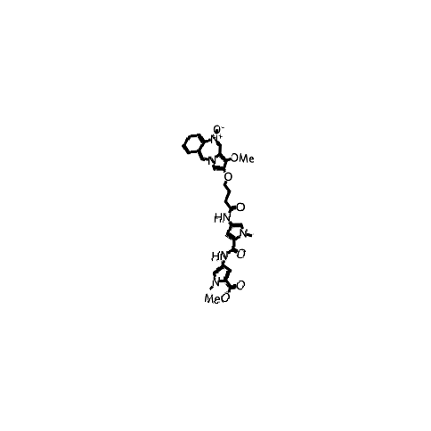 COC(=O)c1cc(NC(=O)c2cc(NC(=O)CCCOc3cn4c(c3OC)C=[N+]([O-])C3=CCCCC3C4)cn2C)cn1C